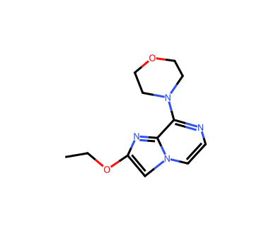 CCOc1cn2ccnc(N3CCOCC3)c2n1